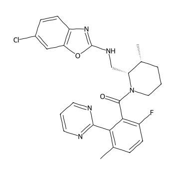 Cc1ccc(F)c(C(=O)N2CCC[C@@H](C)[C@H]2CNc2nc3ccc(Cl)cc3o2)c1-c1ncccn1